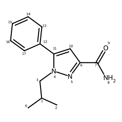 CC(C)Cn1nc(C(N)=O)cc1-c1ccccc1